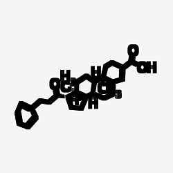 C[C@]12CC[C@H]3[C@@H](CC=C4C=C(C(=O)O)CC[C@@]43C)[C@@H]1CC[C@@H]2C(=O)CCc1ccccc1